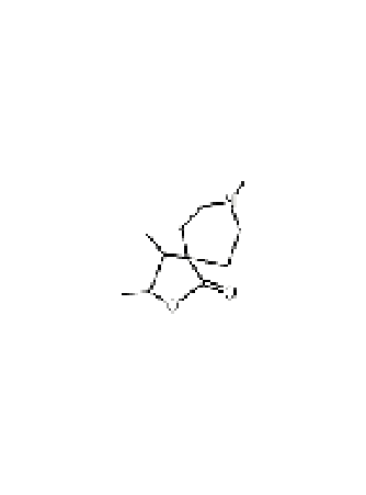 CC1OC(=O)C2(CCN(C)CC2)C1C